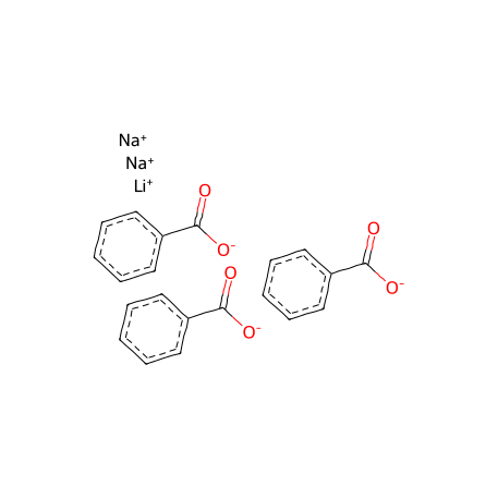 O=C([O-])c1ccccc1.O=C([O-])c1ccccc1.O=C([O-])c1ccccc1.[Li+].[Na+].[Na+]